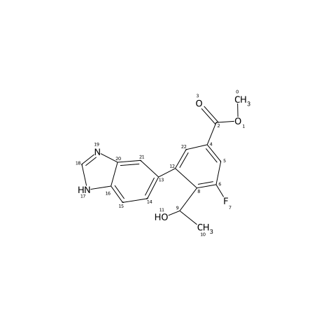 COC(=O)c1cc(F)c(C(C)O)c(-c2ccc3[nH]cnc3c2)c1